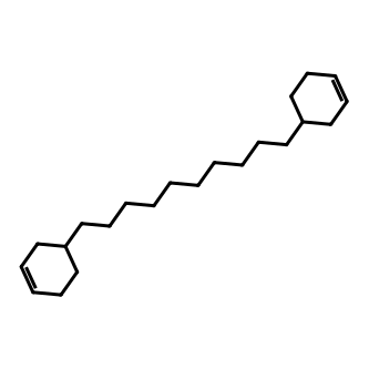 C1=CCC(CCCCCCCCCCC2CC=CCC2)CC1